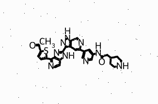 CC(=O)c1ccc(-c2nccc3[nH]c(-c4n[nH]c5cnc(-c6cncc(NC(=O)CC7CCNCC7)c6)cc45)nc23)s1